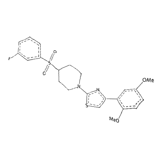 COc1ccc(OC)c(-c2csc(N3CCC(S(=O)(=O)c4cccc(F)c4)CC3)n2)c1